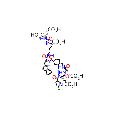 O=C(O)CC[C@H](NC(=O)N[C@@H](CCCCNC(=O)[C@H](Cc1ccc2ccccc2c1)NC(=O)C1CCC(CNC(=O)[C@H](CCC(=O)O)NC(=O)[C@H](CCC(=O)O)NC(=O)c2ccc(F)nc2)CC1)C(=O)O)C(=O)O